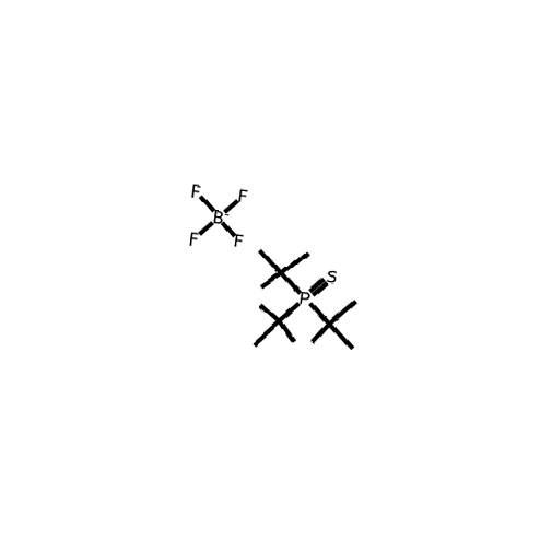 CC(C)(C)P(=S)(C(C)(C)C)C(C)(C)C.F[B-](F)(F)F